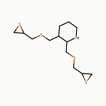 C1C[Te]C(CSCC2CS2)C(CSCC2CS2)C1